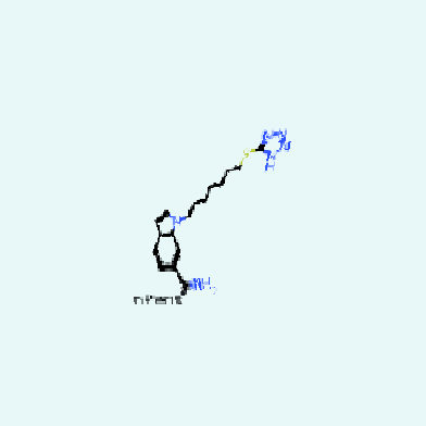 CCCCCC(N)c1ccc2ccn(CCCCCCCSc3nnn[nH]3)c2c1